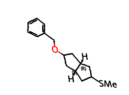 CSC1C[C@H]2CC(OCc3ccccc3)C[C@H]2C1